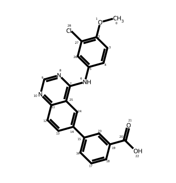 COc1ccc(Nc2ncnc3ccc(-c4cccc(C(=O)O)c4)cc23)cc1Cl